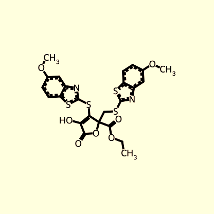 CCOC(=O)C1(CSc2nc3cc(OC)ccc3s2)OC(=O)C(O)=C1Sc1nc2cc(OC)ccc2s1